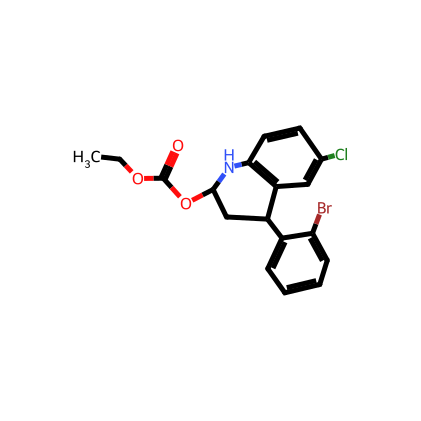 CCOC(=O)OC1CC(c2ccccc2Br)c2cc(Cl)ccc2N1